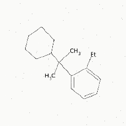 CCc1ccccc1C(C)(C)C1CCCCC1